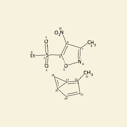 CCS(=O)(=O)c1onc(C)c1[N+](=O)[O-].Cc1ccc2cc1-2